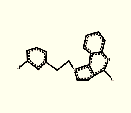 Clc1cccc(CCn2ccc3c(Cl)nc4ccccc4c32)c1